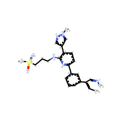 C/C=C(\C=N/C)c1cccc(-c2ccc(-c3cnn(C)c3)c(NCCCS(C)(=N)=O)n2)c1